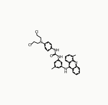 Cc1cc(NC(=O)Nc2ccc(N(CCCl)CCCl)cc2)cc(Nc2c3ccccc3nc3c(C)cccc23)c1